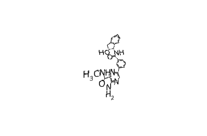 CNC(=O)c1nc(-c2cccc(C(=O)N[C@H]3c4ccccc4C[C@H]3O)c2)cnc1N